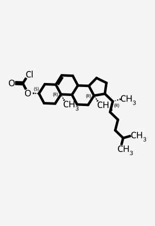 CC(C)CCC[C@@H](C)C1CCC2C3CC=C4C[C@@H](OC(=O)Cl)CC[C@]4(C)C3CC[C@@]21C